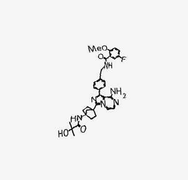 COc1ccc(F)cc1C(=O)NCc1ccc(-c2nc(C34CCC(NC(=O)C(C)(C)O)(CC3)C4)n3ccnc(N)c23)cc1